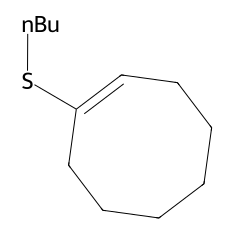 CCCCS/C1=C/CCCCCC1